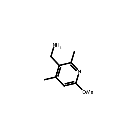 COc1cc(C)c(CN)c(C)n1